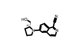 N#Cc1nccc2cc(N3CCC[C@@H]3CO)ccc12